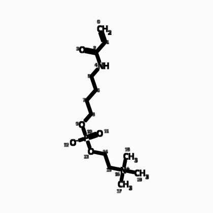 C=CC(=O)NCCCCOP(=O)([O-])OCC[N+](C)(C)C